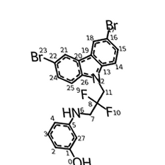 Oc1cccc(NCC(F)(F)Cn2c3ccc(Br)cc3c3cc(Br)ccc32)c1